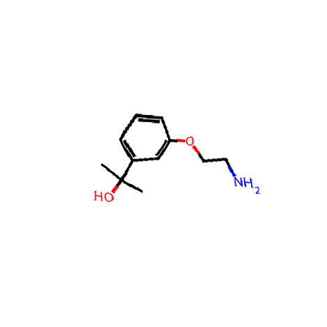 CC(C)(O)c1cccc(OCCN)c1